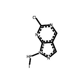 Clc1ncc2cnn(PI)c2n1